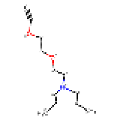 C#COCCOCCN(CCC)CCC